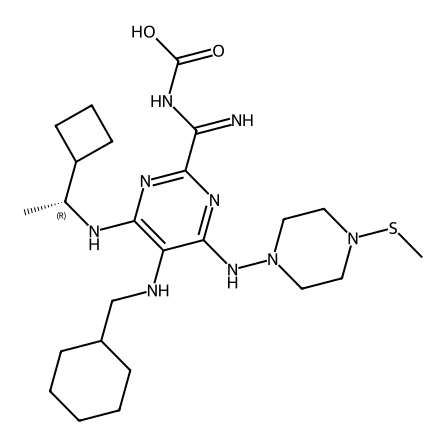 CSN1CCN(Nc2nc(C(=N)NC(=O)O)nc(N[C@H](C)C3CCC3)c2NCC2CCCCC2)CC1